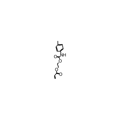 C=CC(=O)OCCOC(=O)Nc1ccc(C)cc1